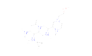 COCCN1CCN(C)C(C2CN(C(C)C)C(C3CN(C)CCN3C3CC3)CN2C)C1